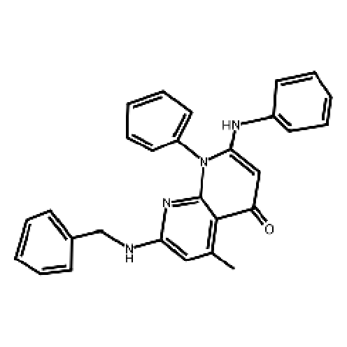 Cc1cc(NCc2ccccc2)nc2c1c(=O)cc(Nc1ccccc1)n2-c1ccccc1